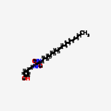 CCCCCCCCCCCCCCCCCCCCCCNC(=O)C(=O)NCCCc1ccc(O)cc1